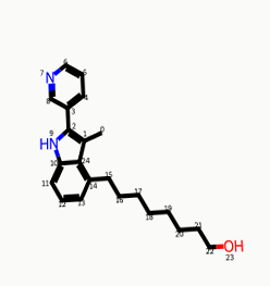 Cc1c(-c2cccnc2)[nH]c2cccc(CCCCCCCCO)c12